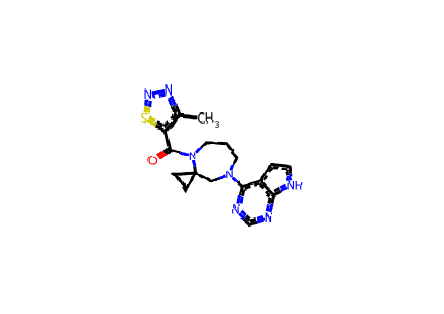 Cc1nnsc1C(=O)N1CCCN(c2ncnc3[nH]ccc23)CC12CC2